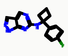 Fc1ccc(C2(Nc3ncc4cn[nH]c4n3)CCC2)cc1